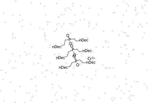 CCCCCCCCCCCCP(=O)([O-])CCCCCCCCCCCC.CCCCCCCCCCCCP(=O)([O-])CCCCCCCCCCCC.CCCCCCCCCCCCP(=O)([O-])CCCCCCCCCCCC.[Cr+3]